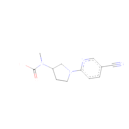 CN(C(=O)O)C1CCN(c2ccc(C#N)cn2)C1